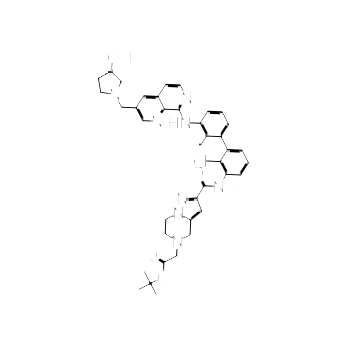 CC(C)(C)OC(=O)CN1CCn2nc(C(=O)Nc3cccc(-c4cccc(Nc5nccc6cc(CN7CC[C@@H](O)C7)cnc56)c4Cl)c3Cl)cc2C1